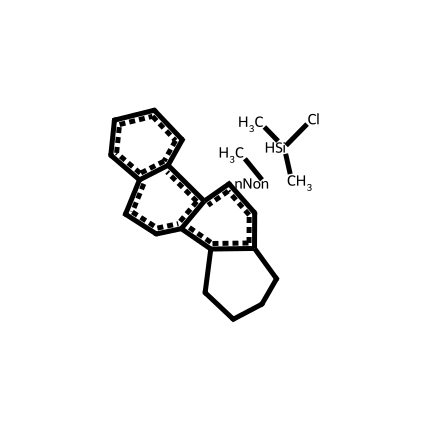 CCCCCCCCCC.C[SiH](C)Cl.c1ccc2c(c1)ccc1c3c(ccc12)CCCC3